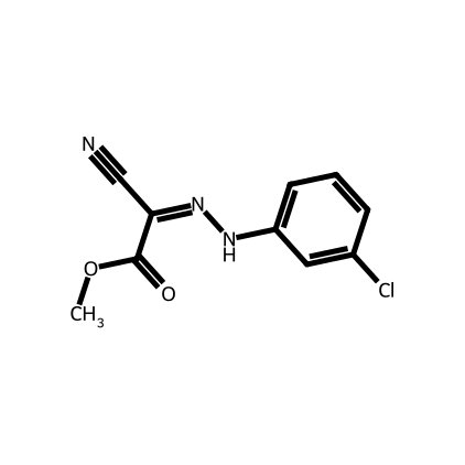 COC(=O)C(C#N)=NNc1cccc(Cl)c1